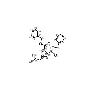 O=C(OCc1ccccc1)[C@H]1CN(CC(F)F)C[C@H]1C(=O)OCc1ccccc1